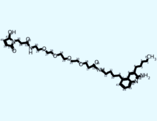 CCCCCc1cc2c(CCCCCNC(=O)CCOCCOCCOCCOCCNC(=O)CCN3C(=O)C=CC3O)cccc2nc1N